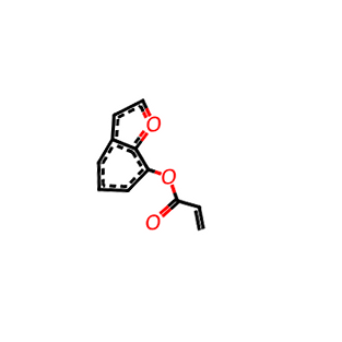 C=CC(=O)Oc1cccc2ccoc12